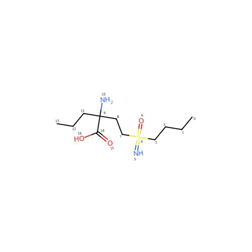 CCCCS(=N)(=O)CCC(N)(CCC)C(=O)O